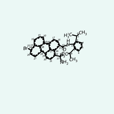 CC(C)c1cccc(C(C)C)c1NC(=O)c1ccc2c3cccc4c(Br)ccc(c5ccc(C(N)=O)c1c52)c43